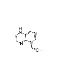 [CH]=CN1[C]=NC=C2NC=CN=C21